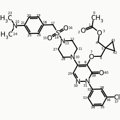 CC(=O)OCC1(COc2c(N3CCN(S(=O)(=O)Cc4ccc(N(C)C)cc4)CC3)cnn(-c3cccc(Cl)c3)c2=O)CC1